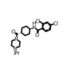 CC(C)N1CCN(C(=O)[C@H]2CC[C@H](NC(=O)c3ccc(Cl)cc3Cl)CC2)CC1